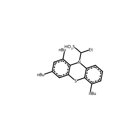 CCCCc1cc(CCCC)c2c(c1)Sc1c(CCCC)cccc1N2C(CC)S(=O)(=O)O